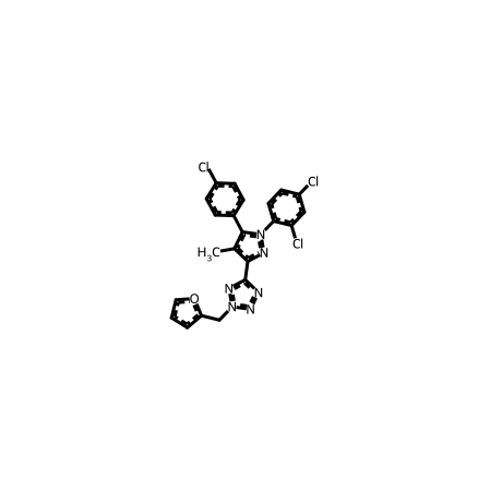 Cc1c(-c2nnn(Cc3ccco3)n2)nn(-c2ccc(Cl)cc2Cl)c1-c1ccc(Cl)cc1